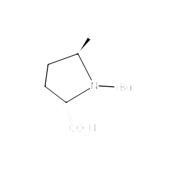 C[C@@H]1CC[C@@H](C(=O)O)N1C(C)(C)C